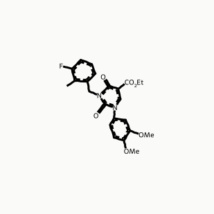 CCOC(=O)c1cn(-c2ccc(OC)c(OC)c2)c(=O)n(Cc2cccc(F)c2C)c1=O